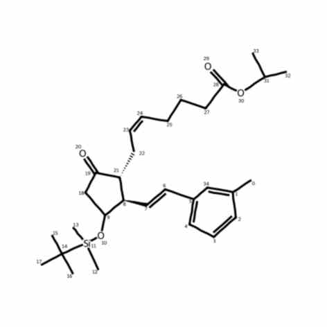 Cc1cccc(/C=C/[C@H]2C(O[Si](C)(C)C(C)(C)C)CC(=O)[C@@H]2C/C=C\CCCC(=O)OC(C)C)c1